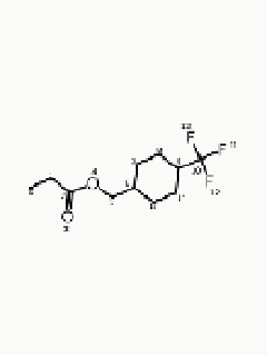 CCC(=O)OCC1CCC(C(F)(F)F)CC1